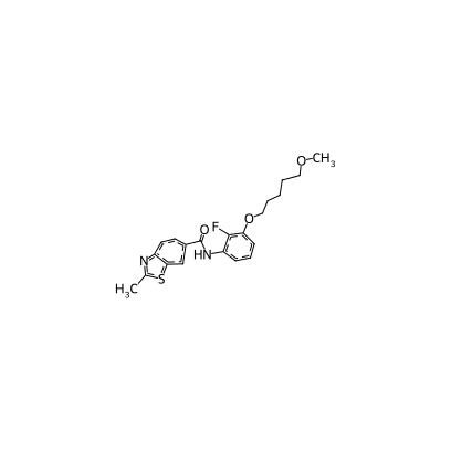 COCCCCCOc1cccc(NC(=O)c2ccc3nc(C)sc3c2)c1F